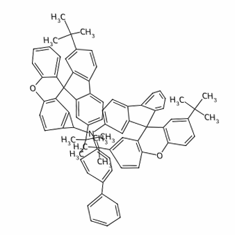 CC(C)(C)c1ccc2c(c1)C1(c3cc(C(C)(C)C)ccc3O2)c2ccccc2-c2ccc(N(c3ccc(-c4ccccc4)cc3)C3c4ccc5c(c43)C3(c4ccccc4O5)c4cc(C(C)(C)C)ccc4-c4ccc(C(C)(C)C)cc43)cc21